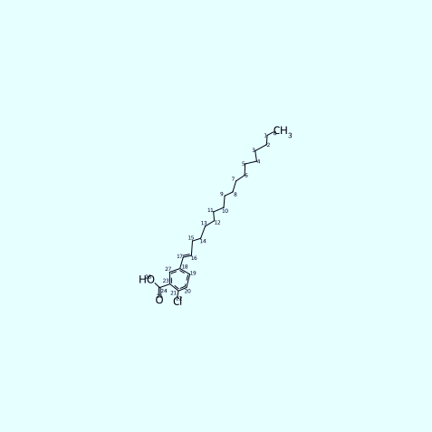 CCCCCCCCCCCCCCCCC=Cc1ccc(Cl)c(C(=O)O)c1